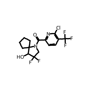 O=C(c1ccc(C(F)(F)F)c(Cl)n1)N1CC(F)(F)C(O)C12CCCC2